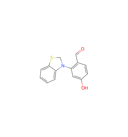 O=Cc1ccc(O)cc1N1CSc2ccccc21